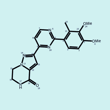 COc1ccc(-c2nccc(-c3cc4n(n3)CCNC4=O)n2)c(C)c1OC